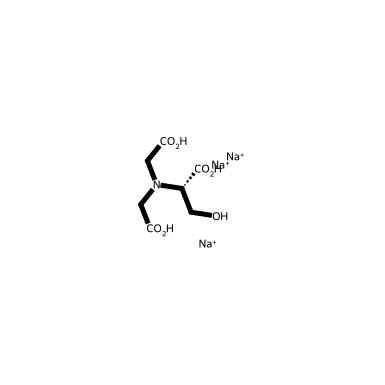 O=C(O)CN(CC(=O)O)[C@@H](CO)C(=O)O.[Na+].[Na+].[Na+]